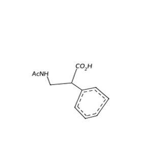 CC(=O)NCC(C(=O)O)c1ccccc1